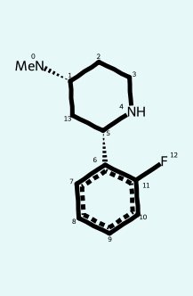 CN[C@@H]1CCN[C@H](c2ccccc2F)C1